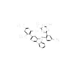 Cc1cc(C)c(-c2ccc3c4ccccc4n(Cc4ccc(C#N)cc4-c4nc(C)nc(C)n4)c3c2)c(C)c1